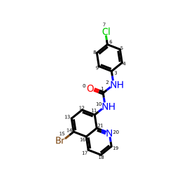 O=C(Nc1ccc(Cl)cc1)Nc1ccc(Br)c2cccnc12